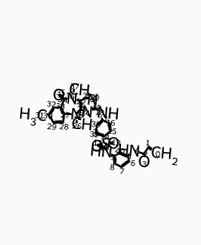 C=CC(=O)Nc1cccc(NS(=O)(=O)c2ccc(Nc3ncc4c(n3)N(C)c3ccc(C)cc3C(=O)N4C)cc2)c1